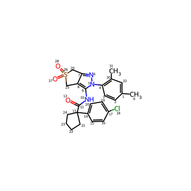 Cc1ccc(-n2nc3c(c2NC(=O)C2(c4ccc(Cl)cc4)CCCC2)CS(=O)(=O)C3)c(C)c1